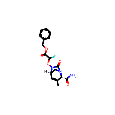 CC1=C[C@@H]2CN(C(=O)N2OC(F)C(=O)OCc2ccccc2)[C@@H]1C(N)=O